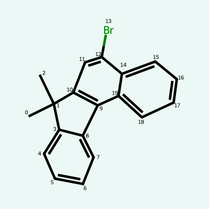 CC1(C)c2ccccc2-c2c1cc(Br)c1ccccc21